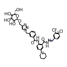 O=C(Nc1ccc(N2CCCCC2)cc1C(=O)N/N=C/c1ccc(Cl)c(C(F)(F)F)c1)c1cccc(Cn2cc(COC3O[C@@H](CO)[C@H](O)[C@@H](O)[C@@H]3O)nn2)c1